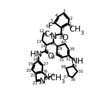 Cc1cccc(F)c1C(=O)N1CCC[C@H](C(=O)Nc2ccc3cnn(C)c3c2)[C@@H]1C1C=CC(NC2CCCC2)=CC1